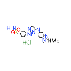 CNc1nc2cc(N(C)c3ccnc(Nc4ccc(CS(N)(=O)=O)cc4)n3)ccc2n1C.Cl